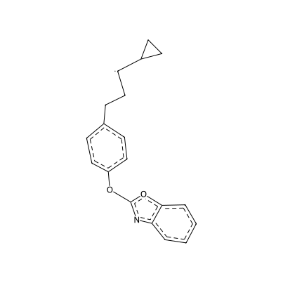 [CH](CCc1ccc(Oc2nc3ccccc3o2)cc1)C1CC1